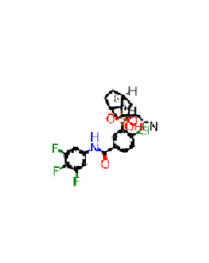 N#CC[C@]1(O)CC2CC[C@@H](C1)[C@H]2S(=O)(=O)c1cc(C(=O)Nc2cc(F)c(F)c(F)c2)ccc1Cl